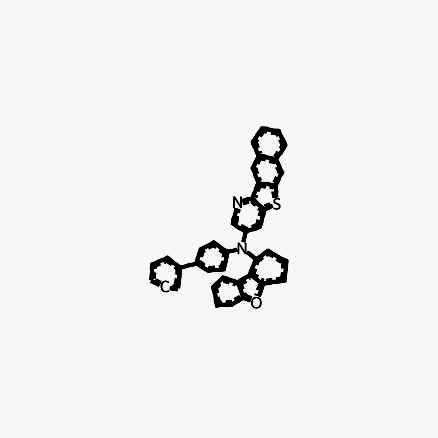 c1ccc(-c2ccc(N(c3cnc4c(c3)sc3cc5ccccc5cc34)c3cccc4oc5ccccc5c34)cc2)cc1